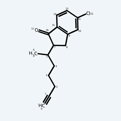 C#CCCCC(C)C1Cc2cc(Cl)ccc2C1=O